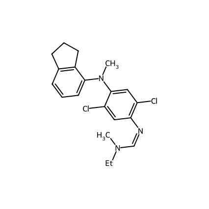 CCN(C)/C=N\c1cc(Cl)c(N(C)c2cccc3c2CCC3)cc1Cl